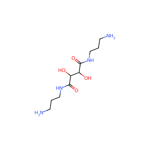 NCCCNC(=O)C(O)C(O)C(=O)NCCCN